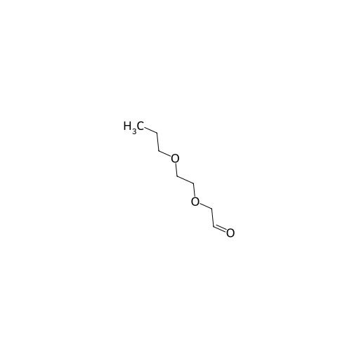 CCCOCCOCC=O